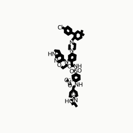 CC(C)N=[SH]1(O)CCC(CNc2ccc(S(=O)(=O)NC(=O)c3ccc(N4CCN(CC5=C(c6ccc(Cl)cc6)CC(C)(C)CC5)CC4)cc3N3CCOc4nc5[nH]ccc5cc43)cc2[N+](=O)[O-])CC1